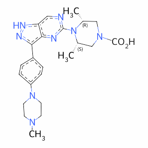 C[C@@H]1CN(C(=O)O)C[C@H](C)N1c1ncc2[nH]nc(-c3ccc(N4CCN(C)CC4)cc3)c2n1